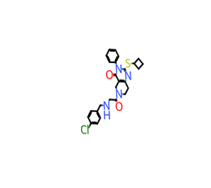 O=C(CNCc1ccc(Cl)cc1)N1CCc2nc(SC3CCC3)n(-c3ccccc3)c(=O)c2C1